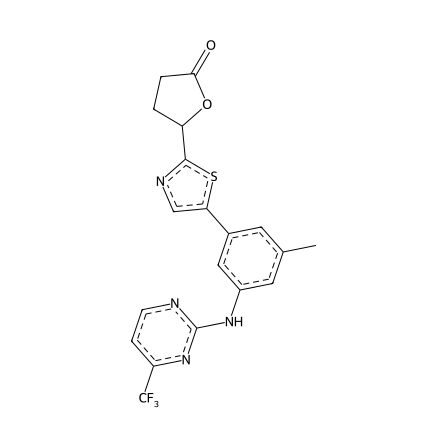 Cc1cc(Nc2nccc(C(F)(F)F)n2)cc(-c2cnc(C3CCC(=O)O3)s2)c1